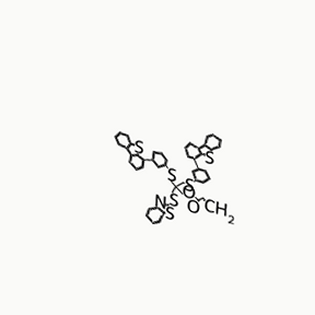 C=CC(=O)OCC(CSc1cccc(-c2cccc3c2sc2ccccc23)c1)(CSc1cccc(-c2cccc3c2sc2ccccc23)c1)CSc1nc2ccccc2s1